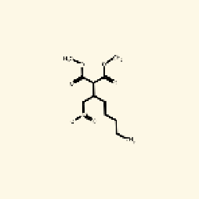 CCCCCC(C[N+](=O)[O-])C(C(=O)OC)C(=O)OC